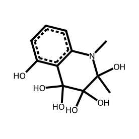 CN1c2cccc(O)c2C(O)(O)C(O)(O)C1(C)O